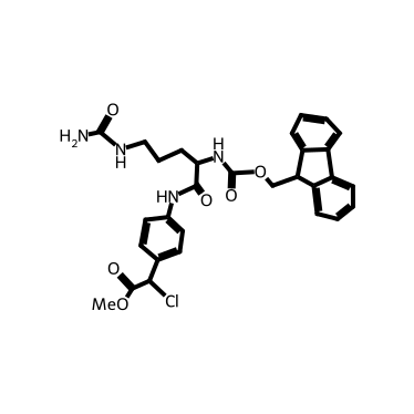 COC(=O)C(Cl)c1ccc(NC(=O)C(CCCNC(N)=O)NC(=O)OCC2c3ccccc3-c3ccccc32)cc1